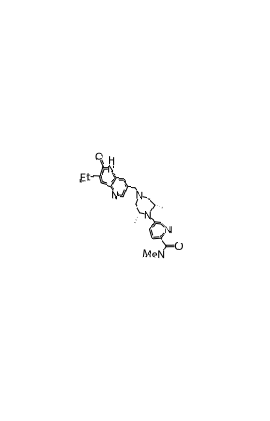 CCc1cc2ncc(CN3C[C@@H](C)N(c4ccc(C(=O)NC)nc4)[C@@H](C)C3)cc2[nH]c1=O